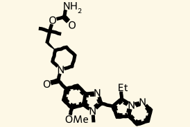 CCc1c(-c2nc3cc(C(=O)N4CCC[C@H](CC(C)(C)OC(N)=O)C4)cc(OC)c3n2C)cc2cccnn12